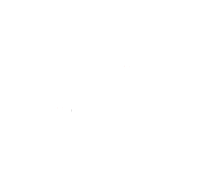 C#CCOC(=O)CC1CC(=O)CC1C/C=C\C